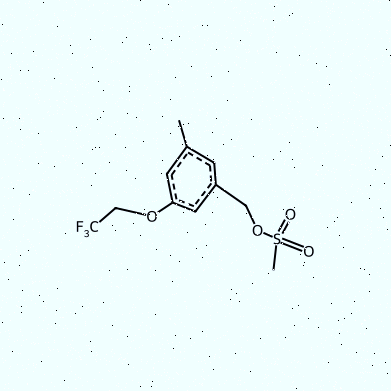 Cc1cc(COS(C)(=O)=O)cc(OCC(F)(F)F)c1